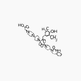 Cc1cc(C[C@@H](OC(=O)N2CCC(N3CCc4ccccc4NC3=O)CC2)C(=O)N2CCC(N3CCN(CC(=O)O)CC3)CC2)cc(C)c1O